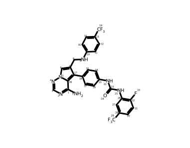 Nc1ncnn2cc(CNc3ccc(C(F)(F)F)cc3)c(-c3ccc(NC(=O)Nc4cc(C(F)(F)F)ccc4F)cc3)c12